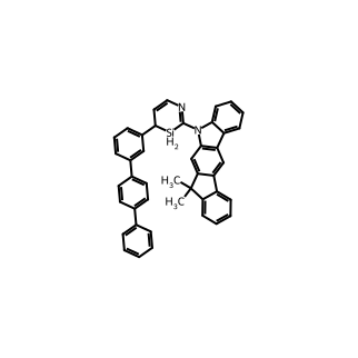 CC1(C)c2ccccc2-c2cc3c4ccccc4n(C4=NC=CC(c5cccc(-c6ccc(-c7ccccc7)cc6)c5)[SiH2]4)c3cc21